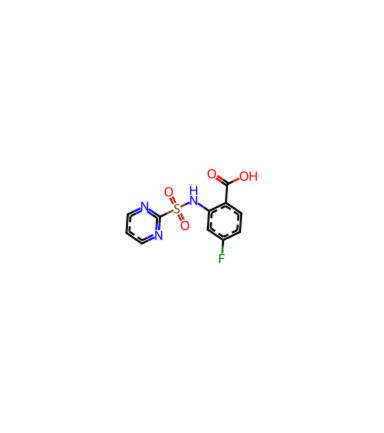 O=C(O)c1ccc(F)cc1NS(=O)(=O)c1ncccn1